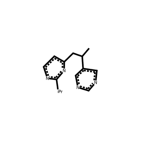 CC(C)c1nccc(CC(C)c2cncnc2)n1